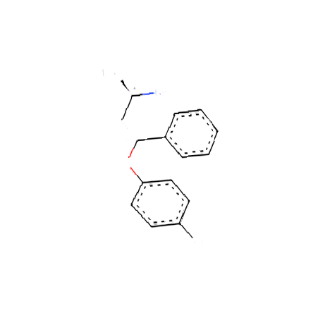 C[C@@H](N)C[C@@H](Oc1ccc(C(F)(F)F)cc1)c1ccccc1